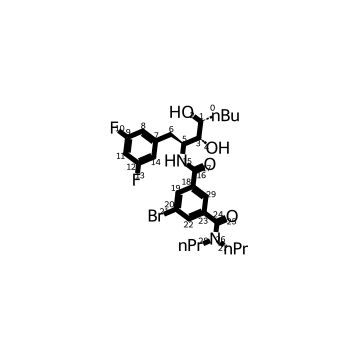 CCCC[C@@H](O)[C@H](O)[C@H](Cc1cc(F)cc(F)c1)NC(=O)c1cc(Br)cc(C(=O)N(CCC)CCC)c1